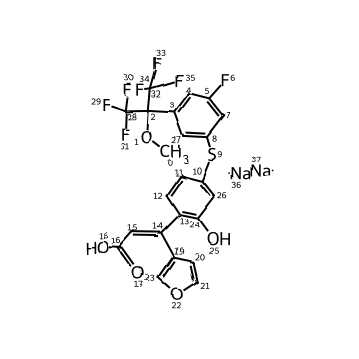 COC(c1cc(F)cc(Sc2ccc(C(=CC(=O)O)c3ccoc3)c(O)c2)c1)(C(F)(F)F)C(F)(F)F.[Na].[Na]